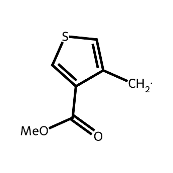 [CH2]c1cscc1C(=O)OC